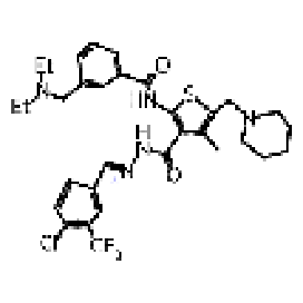 CCN(CC)Cc1cccc(C(=O)Nc2sc(CN3CCCCC3)c(C)c2C(=O)N/N=C/c2ccc(Cl)c(C(F)(F)F)c2)c1